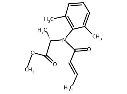 CC=CC(=O)N(c1c(C)cccc1C)[C@@H](C)C(=O)OC